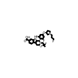 C[C@@H]1Cc2c([nH]c3cc(C(=O)O)ccc23)[C@H](c2c(F)cc(O[C@H]3CCN(CCCF)C3)cc2F)N1CC(C)(F)F